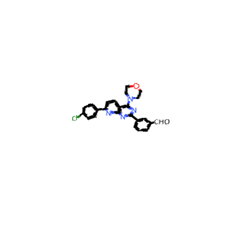 O=Cc1cccc(-c2nc(N3CCOCC3)c3ccc(-c4ccc(Cl)cc4)nc3n2)c1